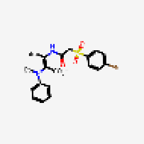 CCCCC(NC(=O)CS(=O)(=O)c1ccc(Br)cc1)=C(C(=O)O)N(CC)c1ccccc1